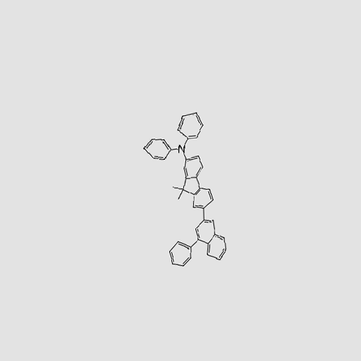 CC1(C)c2cc(-c3cc(-c4ccccc4)c4ccccc4c3)ccc2-c2ccc(N(c3ccccc3)c3ccccc3)cc21